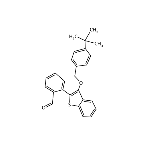 CC(C)(C)c1ccc(COc2c(-c3ccccc3C=O)sc3ccccc23)cc1